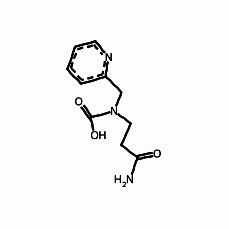 NC(=O)CCN(Cc1ccccn1)C(=O)O